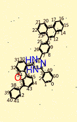 c1ccc(C2=NC(c3ccc(-c4cc5ccccc5c5ccccc45)cc3)NC(c3cccc4oc5c(-c6ccccc6)cccc5c34)N2)cc1